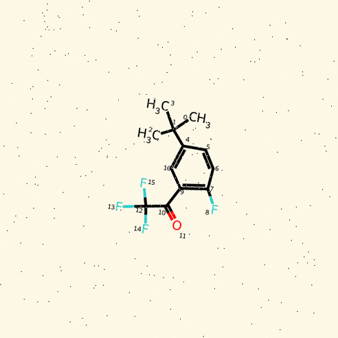 CC(C)(C)c1ccc(F)c(C(=O)C(F)(F)F)c1